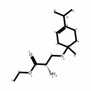 CCOC(=O)[C@@H](N)CSC1(C)CC=C(C(C)C)CC1